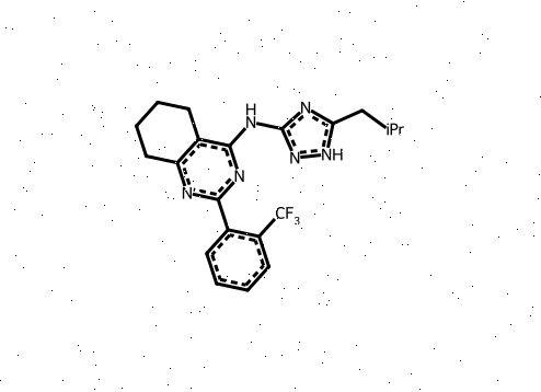 CC(C)Cc1nc(Nc2nc(-c3ccccc3C(F)(F)F)nc3c2CCCC3)n[nH]1